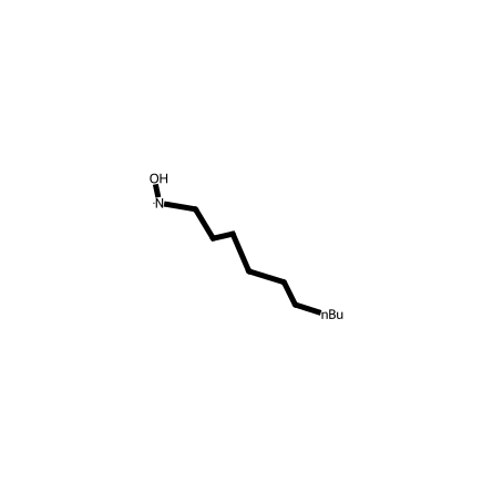 CCCCCCCCCC[N]O